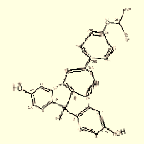 CC(c1ccc(O)cc1)(c1ccc(O)cc1)c1ccc(-c2ccc(OC(F)F)cc2)cc1